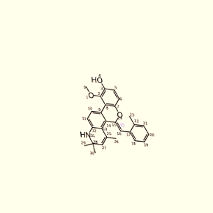 COc1c(O)ccc2c1-c1ccc3c(c1/C(=C/c1ccccc1C)O2)C(C)=CC(C)(C)N3